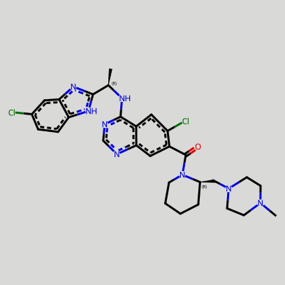 C[C@@H](Nc1ncnc2cc(C(=O)N3CCCC[C@@H]3CN3CCN(C)CC3)c(Cl)cc12)c1nc2cc(Cl)ccc2[nH]1